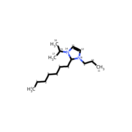 CCCCCCCC1N(CCC)C=CN1C(C)C